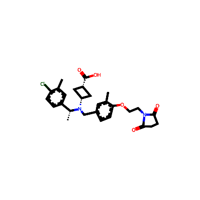 Cc1cc([C@@H](C)N(Cc2ccc(OCCN3C(=O)CCC3=O)c(C)c2)[C@H]2C[C@@H](C(=O)O)C2)ccc1Cl